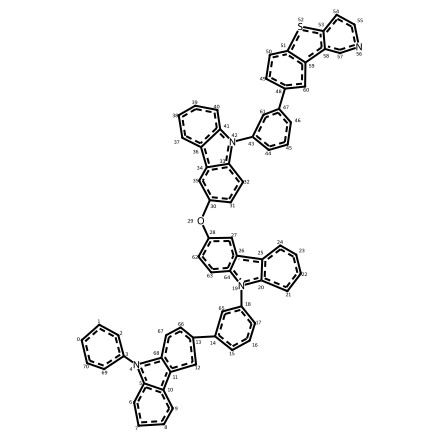 c1ccc(-n2c3ccccc3c3cc(-c4cccc(-n5c6ccccc6c6cc(Oc7ccc8c(c7)c7ccccc7n8-c7cccc(-c8ccc9sc%10ccncc%10c9c8)c7)ccc65)c4)ccc32)cc1